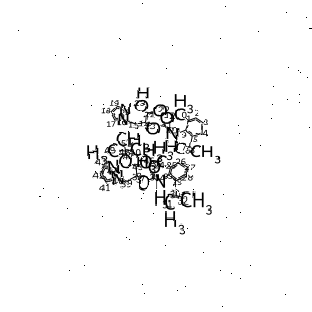 Cc1cccc(C(C)C)c1NC(=O)OC(Cn1cccn1)C(=O)O.Cc1cccc(C(C)C)c1NC(=O)OC(Cn1cccn1)C(=O)OC(C)(C)C